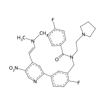 CN(C)C=Cc1cc(-c2ccc(F)c(CN(CCN3CCCC3)C(=O)c3ccc(F)cc3)c2)ncc1[N+](=O)[O-]